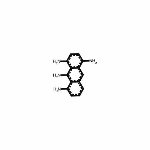 Nc1ccc(N)c2c(N)c3c(N)cccc3cc12